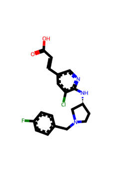 O=C(O)/C=C/c1cnc(N[C@@H]2CCN(Cc3ccc(F)cc3)C2)c(Cl)c1